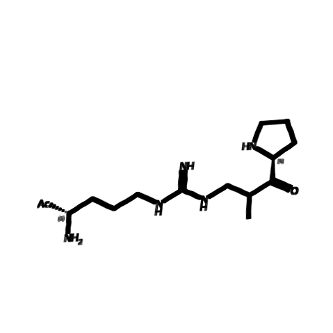 CC(=O)[C@@H](N)CCCNC(=N)NCC(C)C(=O)[C@@H]1CCCN1